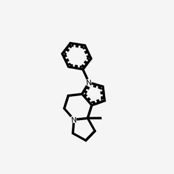 CC12CCCN1CCc1c2ccn1-c1ccccc1